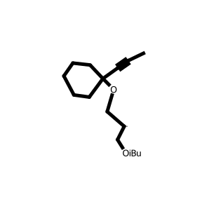 CC#CC1(OC[CH]COCC(C)C)CCCCC1